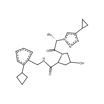 CC(C)(C)[C@@H](C(=O)N1CC(O)CC1C(=O)NCc1ccccc1C1CCC1)n1cc(C2CC2)nn1